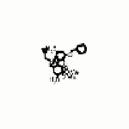 Bc1cc(OCc2ccccc2)c2c3c1CC1C4CC(B)C(OC)(OC)[C@@H](O2)[C@@]34CCN1CC1CC1